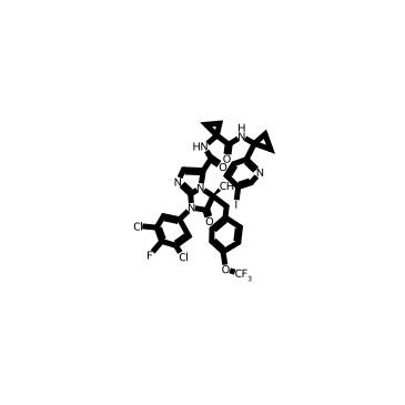 C[C@@]1(Cc2ccc(OC(F)(F)F)cc2)C(=O)N(c2cc(Cl)c(F)c(Cl)c2)c2ncc(C(=O)NC3(C(=O)NC4(c5ccc(I)cn5)CC4)CC3)n21